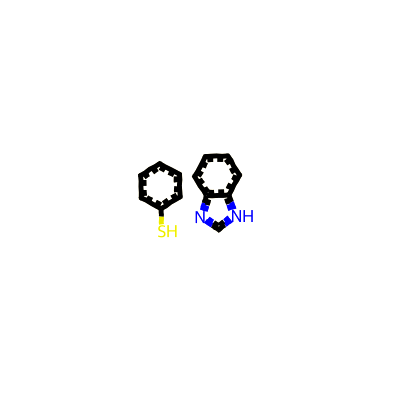 Sc1ccccc1.c1ccc2[nH]cnc2c1